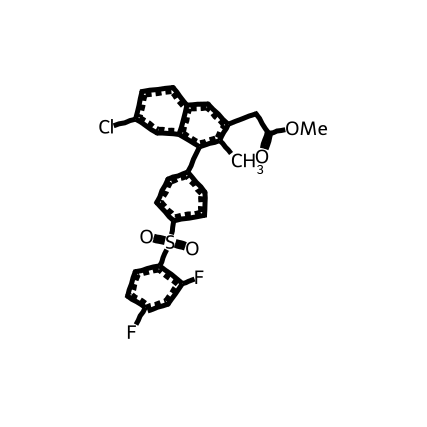 COC(=O)Cc1cc2ccc(Cl)cc2c(-c2ccc(S(=O)(=O)c3ccc(F)cc3F)cc2)c1C